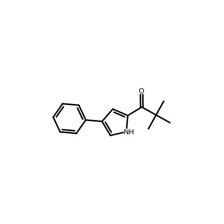 CC(C)(C)C(=O)c1cc(-c2ccccc2)c[nH]1